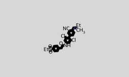 CC/C(C)=C/c1ccc(-c2c(Cl)cc(NC(=O)Cc3ccc(S(=O)(=O)CC)cc3)cc2Cl)cc1C#N